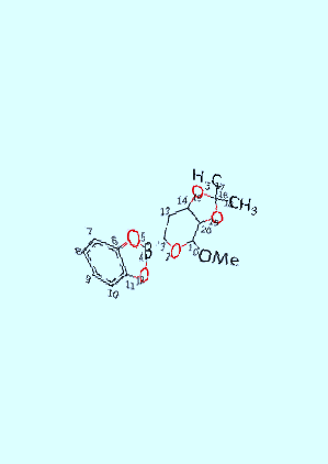 COC1O[C@H](B2Oc3ccccc3O2)CC2OC(C)(C)OC21